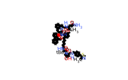 Cc1ncsc1-c1ccc(CNC(=O)[C@@H]2C[C@@H](O)CN2C(=O)[C@@H](NC(=O)CCCCCc2ccc(CO[C@H](C)[C@H](CCC(N)=O)NC(=O)[C@@H]3Cc4cccc5c4N3C(=O)[C@@H](NC(=O)OCC3c4ccccc4-c4ccccc43)CC5)cc2)C(C)(C)C)cc1